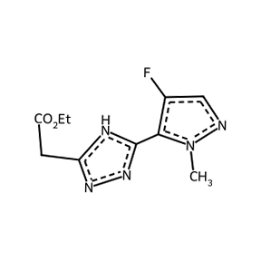 CCOC(=O)Cc1nnc(-c2c(F)cnn2C)[nH]1